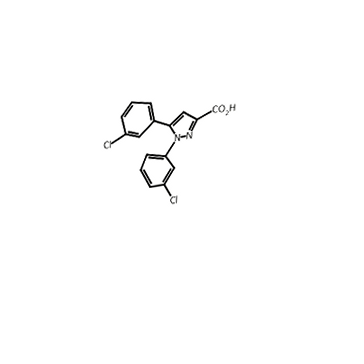 O=C(O)c1cc(-c2cccc(Cl)c2)n(-c2cccc(Cl)c2)n1